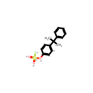 CC(C)(c1ccccc1)c1ccc(OS(=O)(=O)F)cc1